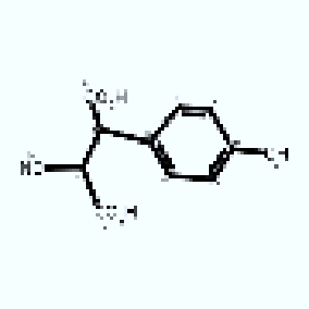 N#CC(C(=O)O)C(C(=O)O)c1ccc(O)cc1